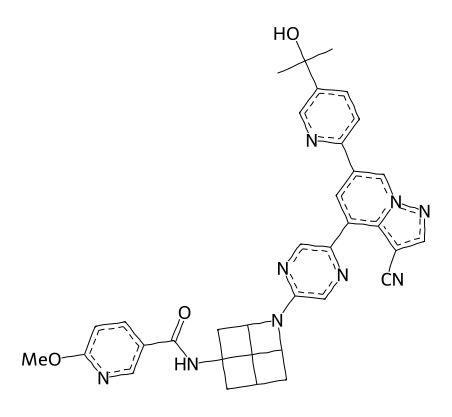 COc1ccc(C(=O)NC23CC4CC5N(c6cnc(-c7cc(-c8ccc(C(C)(C)O)cn8)cn8ncc(C#N)c78)cn6)C(C2)C453)cn1